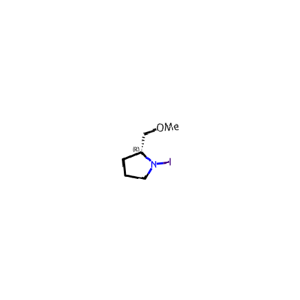 COC[C@H]1CCCN1I